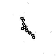 c1ccc2cc(-c3ccc(-c4ccc5c(c4)sc4c6sc7cc(-c8ccc9ccccc9c8)ccc7c6c6ccccc6c54)cc3)ccc2c1